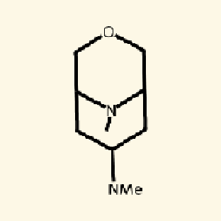 CNC1CC2COCC(C1)N2C